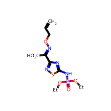 C=CCO/N=C(\C(=O)O)c1nsc(NP(=O)(OCC)OCC)n1